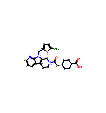 O=C(C[C@H]1CC[C@H](C(=O)O)CC1)N1CCc2c(n(Cc3ccc(Cl)s3)c3ncccc23)C1